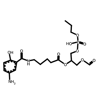 CCCOP(=O)(O)OCC(COC=O)OC(=O)CCCCNC(=O)c1cc(N)ccc1O